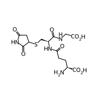 N[C@@H](CCC(=O)N[C@@H](CSC1CC(=O)NC1=O)C(=O)NCC(=O)O)C(=O)O